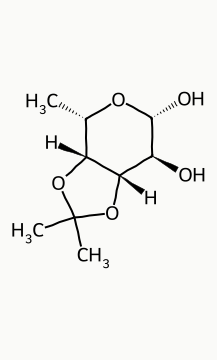 C[C@@H]1O[C@H](O)[C@@H](O)[C@@H]2OC(C)(C)O[C@@H]21